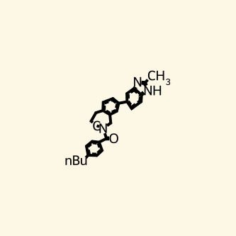 CCCCc1ccc(C(=O)N2CCCc3ccc(-c4ccc5[nH]c(C)nc5c4)cc3C2)cc1